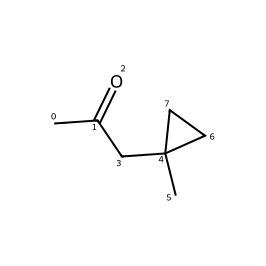 CC(=O)CC1(C)CC1